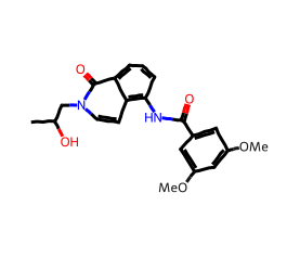 COc1cc(OC)cc(C(=O)Nc2cccc3c(=O)n(CC(C)O)ccc23)c1